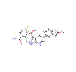 NC(=O)c1ccc(F)c(C(=O)c2c[nH]c3ncc(-c4ccc5c(c4)CC(=O)N5)cc23)c1F